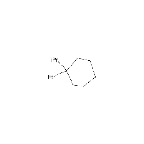 CCC1(C(C)C)CCCCC1